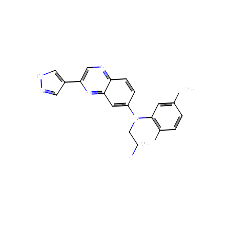 COc1ccc(OC)c(N(CCN)c2ccc3ncc(-c4cn[nH]c4)nc3c2)c1